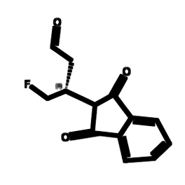 O=CC[C@@H](CF)C1C(=O)c2ccccc2C1=O